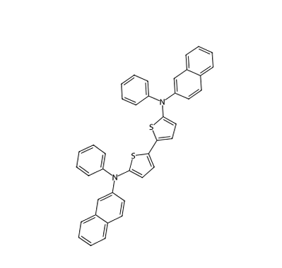 c1ccc(N(c2ccc3ccccc3c2)c2ccc(-c3ccc(N(c4ccccc4)c4ccc5ccccc5c4)s3)s2)cc1